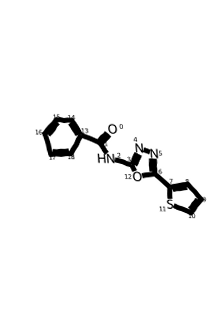 O=C(Nc1nnc(-c2cccs2)o1)c1ccccc1